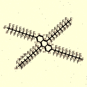 FC(F)(F)C(F)(F)C(F)(F)C(F)(F)C(F)(F)C(F)(F)C(F)(F)C(F)(F)c1ccc2c(C(F)(F)C(F)(F)C(F)(F)C(F)(F)C(F)(F)C(F)(F)C(F)(F)C(F)(F)F)c3cc(C(F)(F)C(F)(F)C(F)(F)C(F)(F)C(F)(F)C(F)(F)C(F)(F)C(F)(F)F)ccc3c(C(F)(F)C(F)(F)C(F)(F)C(F)(F)C(F)(F)C(F)(F)C(F)(F)C(F)(F)F)c2c1